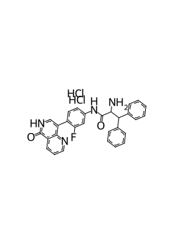 Cl.Cl.NC(C(=O)Nc1ccc(-c2c[nH]c(=O)c3cccnc23)c(F)c1)C(c1ccccc1)c1ccccc1